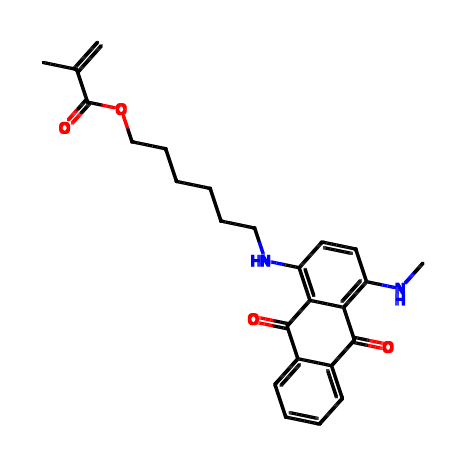 C=C(C)C(=O)OCCCCCCNc1ccc(NC)c2c1C(=O)c1ccccc1C2=O